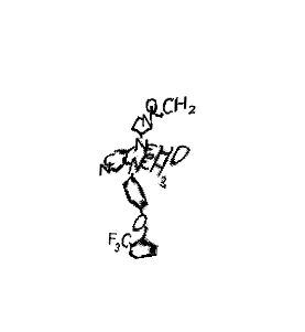 C=CC(=O)N1CCC(N(C=O)c2ccncc2N(C)c2ccc(OCc3ccccc3C(F)(F)F)cc2)C1